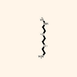 NCCOCCOCCNS